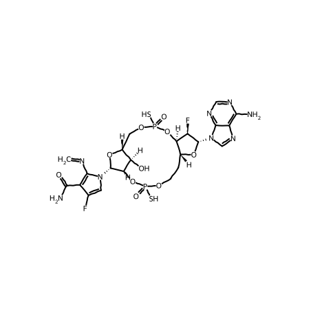 C=Nc1c(C(N)=O)c(F)cn1[C@@H]1O[C@@H]2COP(=O)(S)O[C@H]3[C@@H](F)[C@H](n4cnc5c(N)ncnc54)O[C@@H]3CCOP(=O)(S)O[C@@H]1[C@@H]2O